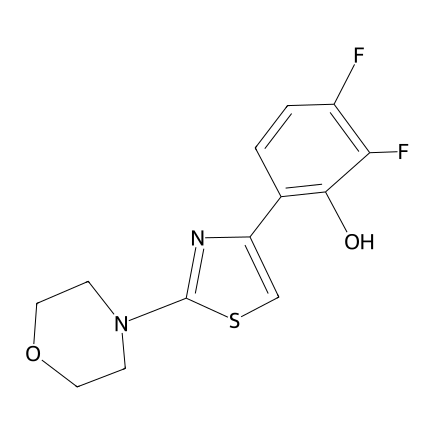 Oc1c(-c2csc(N3CCOCC3)n2)ccc(F)c1F